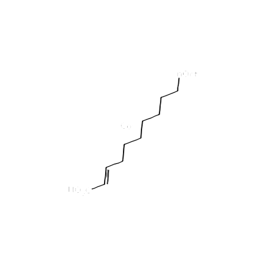 CCCCCCCCCCCCCCCC=CC(=O)O.[Co]